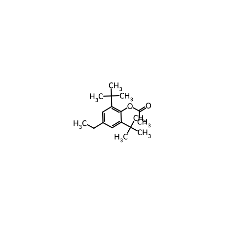 CCc1cc(C(C)(C)C)c(OC(C)=O)c(C(C)(C)C)c1